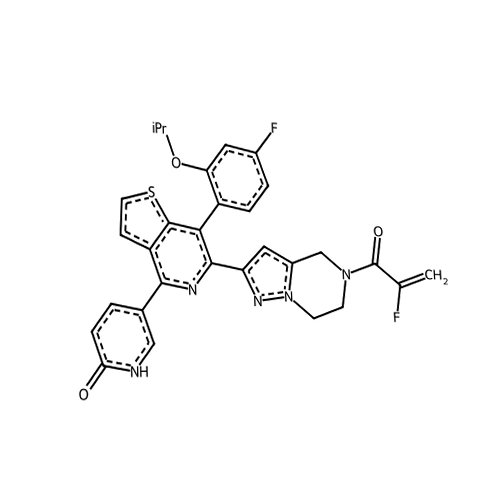 C=C(F)C(=O)N1CCn2nc(-c3nc(-c4ccc(=O)[nH]c4)c4ccsc4c3-c3ccc(F)cc3OC(C)C)cc2C1